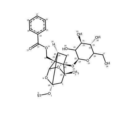 CCO[C@]12C[C@]3(C)OC(O1)[C@]1(COC(=O)c4ccccc4)[C@H]2C[C@]31O[C@@H]1OC(CO)[C@@H](O)[C@H](O)C1O